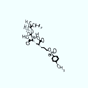 Cc1ccc(S(=O)(=O)OCCC[C@H](C[C@@H](NC(=O)OC(C)(C)C)C(=O)O)C(=O)O)cc1